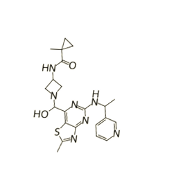 Cc1nc2nc(NC(C)c3cccnc3)nc(C(O)N3CC(NC(=O)C4(C)CC4)C3)c2s1